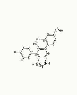 COc1ccc(-c2nc3[nH]nc(C)c3c(-c3ccc(C)nc3)c2C#N)c(F)c1